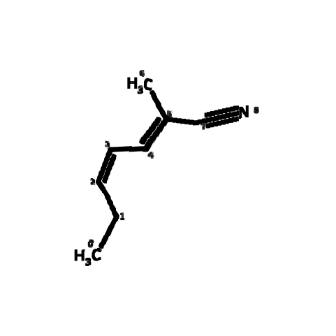 CC/C=C\C=C(/C)C#N